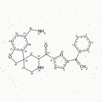 C=C(c1ccccc1)c1ccc(C(=O)C2CC3(CCN2)COc2ccc(CN)cc23)o1